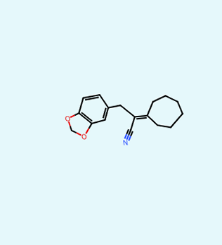 N#CC(Cc1ccc2c(c1)OCO2)=C1CCCCCC1